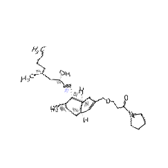 CCCC[C@H](C)C[C@H](O)/C=C/[C@@H]1[C@H]2CC(COCCC(=O)N3CCCC3)=C[C@H]2C[C@H]1O